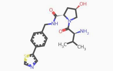 CC(C)[C@H](N)C(=O)N1C[C@H](O)C[C@H]1C(=O)NCc1ccc(-c2cncs2)cc1